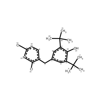 CC(C)(C)c1cc(Cc2cnc(Cl)nc2Cl)cc(C(C)(C)C)c1O